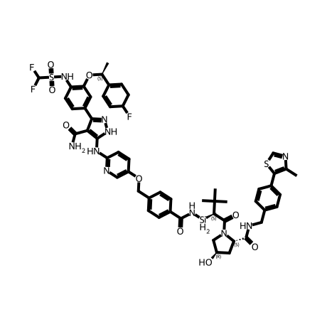 Cc1ncsc1-c1ccc(CNC(=O)[C@@H]2C[C@@H](O)CN2C(=O)[C@@H]([SiH2]NC(=O)c2ccc(COc3ccc(Nc4[nH]nc(-c5ccc(NS(=O)(=O)C(F)F)c(O[C@@H](C)C6=CCC(F)C=C6)c5)c4C(N)=O)nc3)cc2)C(C)(C)C)cc1